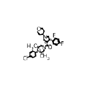 C[C@@H]1CN(C(=O)[C@@H]2CN(C3CCOCC3)C[C@H]2c2ccc(F)cc2F)C[C@H](C)N1c1ccc(Cl)cc1